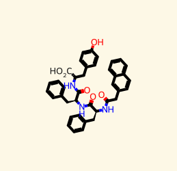 O=C(Cc1ccc2ccccc2c1)N[C@@H](Cc1ccccc1)C(=O)N[C@@H](Cc1ccccc1)C(=O)NC(Cc1ccc(O)cc1)C(=O)O